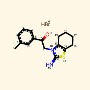 Br.Cc1cccc(C(=O)Cn2c3c(sc2=N)CCCC3)c1